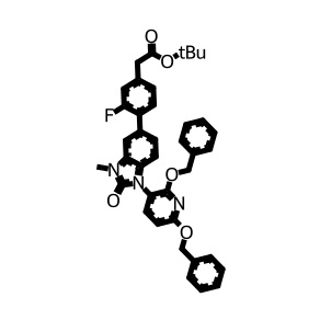 Cn1c(=O)n(-c2ccc(OCc3ccccc3)nc2OCc2ccccc2)c2ccc(-c3ccc(CC(=O)OC(C)(C)C)cc3F)cc21